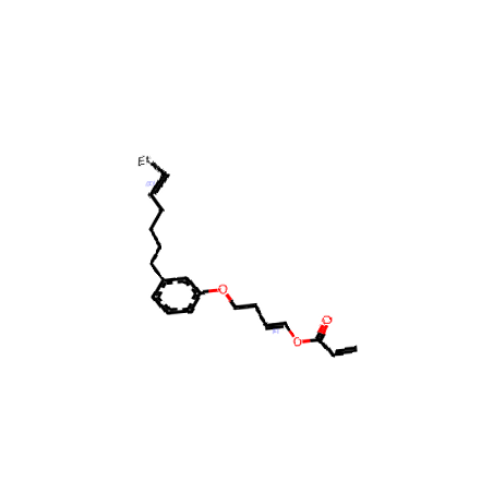 C=CC(=O)O/C=C/CCOc1cccc(CCCC/C=C/CC)c1